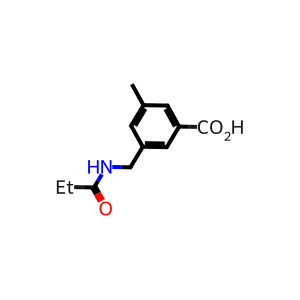 CCC(=O)NCc1cc(C)cc(C(=O)O)c1